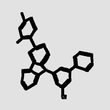 Cc1ccc(-c2ccc3c(c2)c2ccccc2n3-c2cc(C#N)cc(-c3ccncc3)c2)c(C)c1